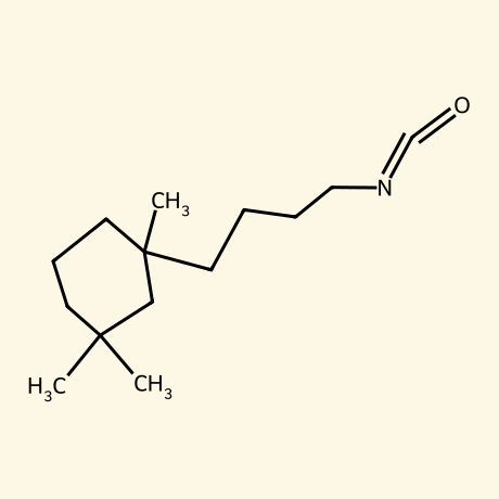 CC1(C)CCCC(C)(CCCCN=C=O)C1